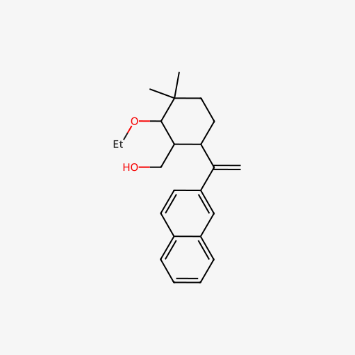 C=C(c1ccc2ccccc2c1)C1CCC(C)(C)C(OCC)C1CO